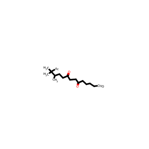 CC(=O)C(C)(C)C(C)CCC(=O)CCC(=O)CCCCC=O